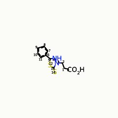 O=C(O)CCN1NC(c2ccccc2)SC1=S